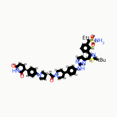 CCC(c1cccc(-c2nc(C(C)(C)C)sc2-c2ccnc(Nc3ccc(C4CCN(C(=O)C[C@@H]5CCN(c6ccc([C@@H]7CCC(=O)NC7=O)cc6)C5)CC4)cc3)n2)c1F)S(N)(=O)=O